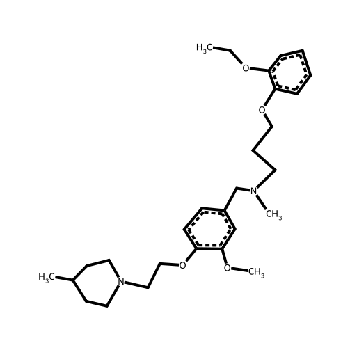 CCOc1ccccc1OCCCN(C)Cc1ccc(OCCN2CCC(C)CC2)c(OC)c1